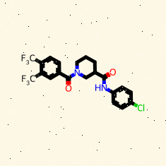 O=C(Nc1ccc(Cl)cc1)C1CCCN(C(=O)c2ccc(C(F)(F)F)c(C(F)(F)F)c2)C1